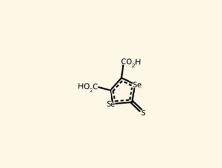 O=C(O)c1[se]c(=S)[se]c1C(=O)O